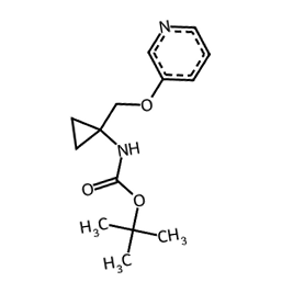 CC(C)(C)OC(=O)NC1(COc2cccnc2)CC1